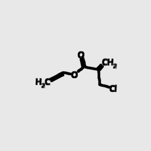 C=COC(=O)C(=C)CCl